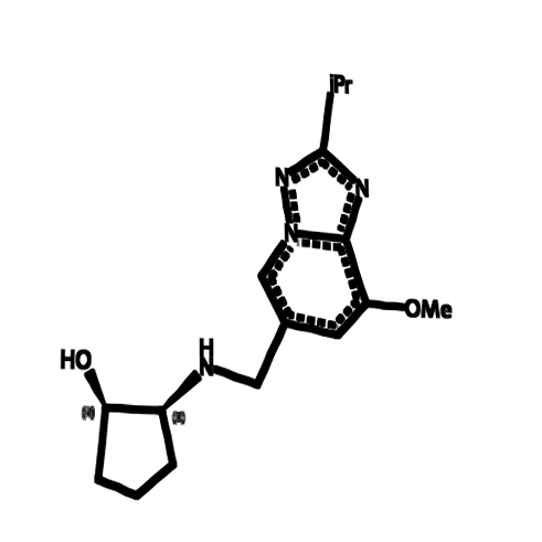 COc1cc(CN[C@H]2CCC[C@H]2O)cn2nc(C(C)C)nc12